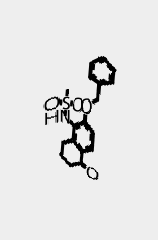 CS(=O)(=O)Nc1c(OCc2ccccc2)ccc2c1CCCC2=O